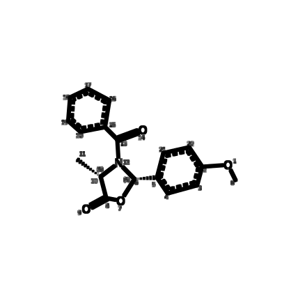 COc1ccc([C@@H]2OC(=O)[C@H](C)N2C(=O)c2ccccc2)cc1